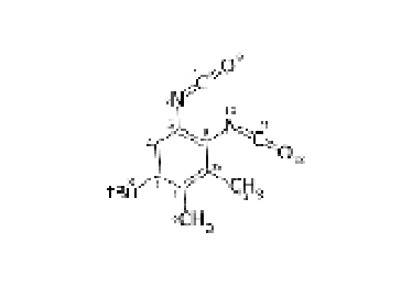 Cc1c(C(C)(C)C)cc(N=C=O)c(N=C=O)c1C